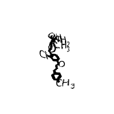 Cc1ccc(CCCC(=O)c2ccc(COC[C@@](C)(N)CO)c(Cl)c2)cc1